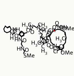 COc1cc2cc(c1Cl)N(C)C(=O)C[C@H](OC(=O)[C@H](C)N(C)C(=O)CCSC(=O)N(C)CCN(C)C(=O)OCc1ccc(OC(=O)NC3CCCC/C=C/[C@@H]3N)c(NC(=O)CCNC(=O)CSC)c1)[C@]1(C)O[C@H]1[C@H](C)[C@@H]1C[C@@](O)(NC(=O)O1)[C@H](OC)/C=C/C=C(\C)C2